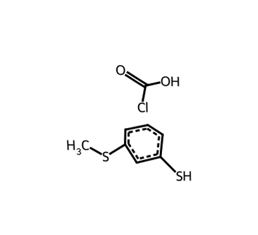 CSc1cccc(S)c1.O=C(O)Cl